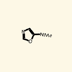 CNc1cnco1